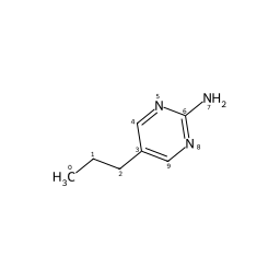 CCCc1cnc(N)nc1